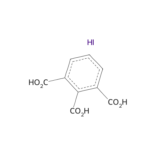 I.O=C(O)c1cccc(C(=O)O)c1C(=O)O